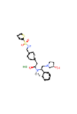 CN(C(=O)Cc1ccc(CNS(=O)(=O)c2cccs2)cc1)C(CN1CCC(O)C1)c1ccccc1.Cl